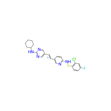 Fc1ccc(SNc2ccc(/C=C/c3cnc(NC4CCCCC4)nc3)cn2)c(Cl)c1